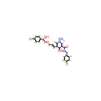 Cn1cc(C(=O)NCc2ccc(Cl)cc2)c(=O)c2cc(COC[C@@H](O)c3ccc(Br)cc3)sc21